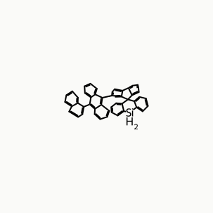 c1ccc2c(c1)[SiH2]c1ccccc1C21c2ccccc2-c2ccc(-c3c4ccccc4c(-c4cccc5ccccc45)c4ccccc34)cc21